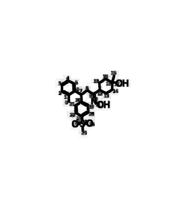 Cc1ccccc1C(CC(=NO)C1CCC(C)(O)CC1)c1ccc(S(C)(=O)=O)cc1